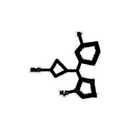 COC1CC(C(c2cccc(Br)c2)c2nncn2C)C1